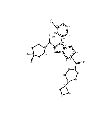 O=CC(c1cc2cc(C(=O)N3CCN(C4CCC4)CC3)ccc2n1-c1ccnc(Cl)c1)N1CCC(F)(F)CC1